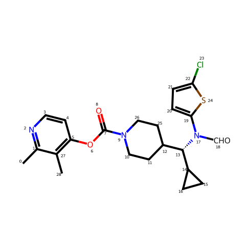 Cc1nccc(OC(=O)N2CCC([C@@H](C3CC3)N(C=O)c3ccc(Cl)s3)CC2)c1C